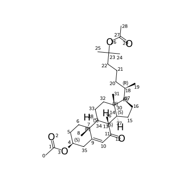 CC(=O)O[C@H]1CC[C@@]2(C)C(=CC(=O)[C@H]3[C@@H]4CC[C@H]([C@H](C)CCCC(C)(C)OC(C)=O)[C@@]4(C)CC[C@@H]32)C1